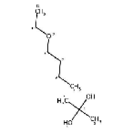 CC(C)(O)O.CCCCOCC